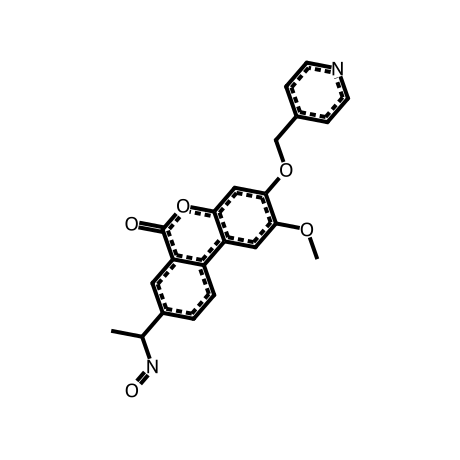 COc1cc2c(cc1OCc1ccncc1)oc(=O)c1cc(C(C)N=O)ccc12